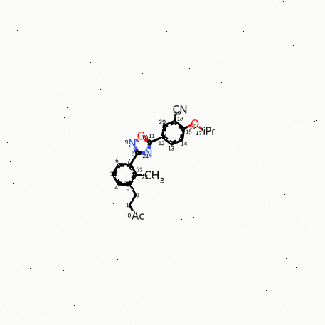 CC(=O)CCc1cccc(-c2noc(-c3ccc(OC(C)C)c(C#N)c3)n2)c1C